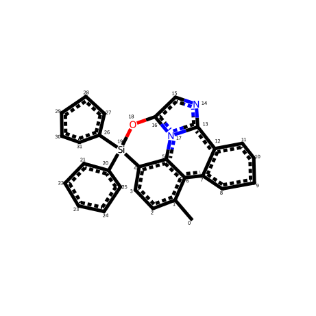 Cc1ccc2c3c1c1ccccc1c1ncc(n13)O[Si]2(c1ccccc1)c1ccccc1